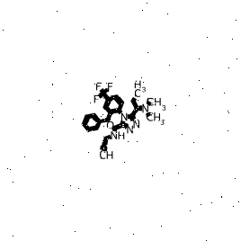 C#CCNCc1nnc(C(CC)N(C)C)n1-c1ccc(C(F)(F)F)cc1C(=O)c1ccccc1